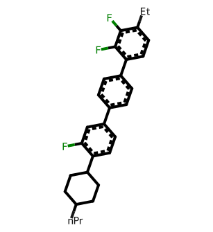 CCCC1CCC(c2ccc(-c3ccc(-c4ccc(CC)c(F)c4F)cc3)cc2F)CC1